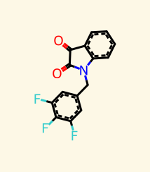 O=C1C(=O)N(Cc2cc(F)c(F)c(F)c2)c2ccccc21